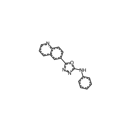 c1ccc(Nc2nnc(-c3ccc4ncccc4c3)o2)cc1